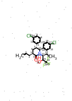 C=CC[C@H]1C[C@H](c2cccc(Cl)c2)[C@@H](c2ccc(Cl)cc2)N([C@@H](CC)C(O)C(F)(F)F)C1=O